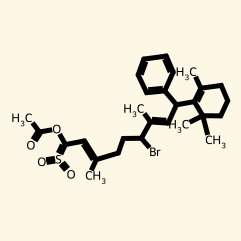 CC(=O)OC(C=C(C)CCC(Br)C(C)=CC(C1=C(C)CCCC1(C)C)c1ccccc1)=S(=O)=O